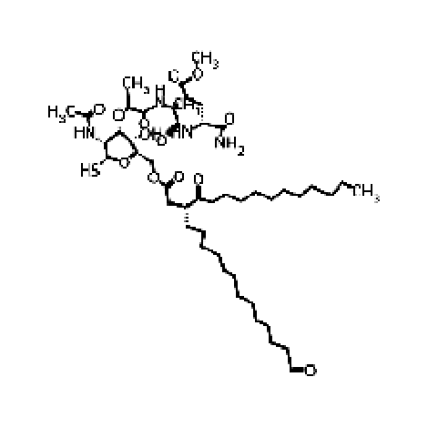 CCCCCCCCCCCC(=O)[C@H](CCCCCCCCCCCCC=O)CC(=O)OC[C@H]1O[C@@H](S)[C@H](NC(C)=O)[C@H](OC(C)C(=O)N[C@@H](C)C(=O)N[C@H](CCC(=O)OC)C(N)=O)[C@@H]1O